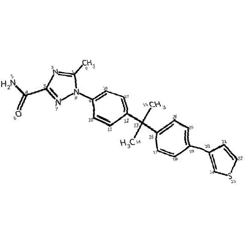 Cc1nc(C(N)=O)nn1-c1ccc(C(C)(C)c2ccc(-c3ccsc3)cc2)cc1